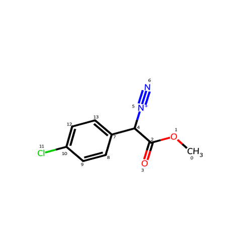 COC(=O)C([N+]#N)c1ccc(Cl)cc1